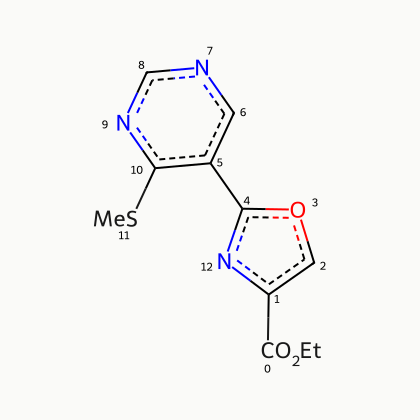 CCOC(=O)c1coc(-c2cncnc2SC)n1